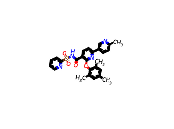 Cc1cc(C)c(Oc2nc(-c3ccc(C)nc3)ccc2C(=O)NS(=O)(=O)c2ccccn2)c(C)c1